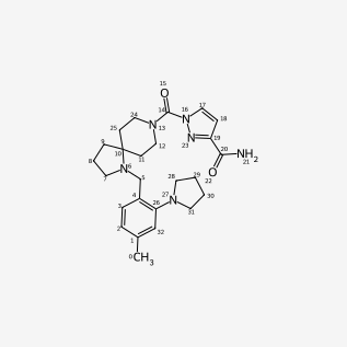 Cc1ccc(CN2CCCC23CCN(C(=O)n2ccc(C(N)=O)n2)CC3)c(N2CCCC2)c1